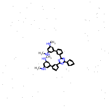 CNc1cc(NC)cc(-c2cccc(-c3nc(-c4ccccc4)nc(-c4cccc(-c5cc(NC)cc(NC)c5)c4)n3)c2)c1